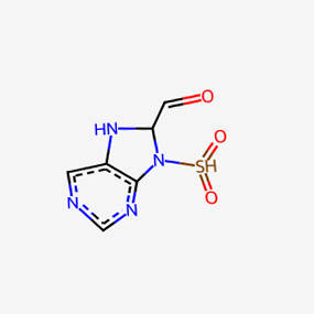 O=CC1Nc2cncnc2N1[SH](=O)=O